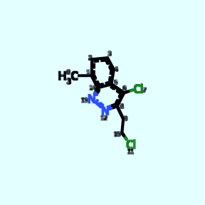 Cc1cccc2c(Cl)c(CCCl)nnc12